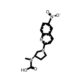 CN(C(=O)O)[C@@H]1CCN(c2ccc3cc([N+](=O)[O-])ccc3n2)C1